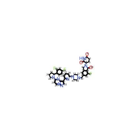 O=C1CCC(N2Cc3cc(CN4CCN(c5cccc(-c6cnn7ccc(N8CCCC8c8ccc(F)cc8F)nc67)n5)CC4)cc(F)c3C2=O)C(=O)N1